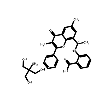 Cc1cc([C@@H](C)Nc2ccccc2C(=O)O)c2oc(-c3ccccc3)c(C)c(=O)c2c1.NC(CO)(CO)CO